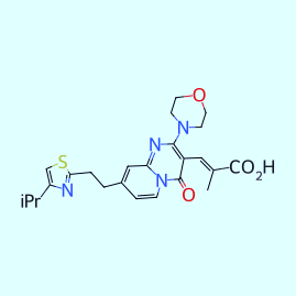 CC(=Cc1c(N2CCOCC2)nc2cc(CCc3nc(C(C)C)cs3)ccn2c1=O)C(=O)O